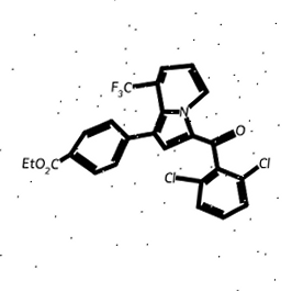 CCOC(=O)c1ccc(-c2cc(C(=O)c3c(Cl)cccc3Cl)n3cccc(C(F)(F)F)c23)cc1